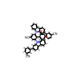 N#Cc1cccc(-c2ccc3c4ccccc4n(-c4cc(C#N)cc(-n5c6ccccc6c6ccc(-c7cccc(C#N)c7)cc65)c4-c4ccccc4C(F)(F)F)c3c2)c1